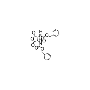 O=C(N[C@@H]1C(=O)OC(=O)[C@H]1NC(=O)OCc1ccccc1)OCc1ccccc1